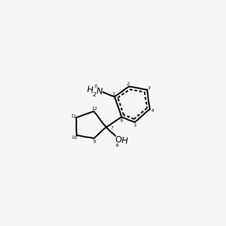 Nc1ccccc1C1(O)CCCC1